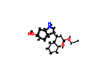 CCOC(=O)CC(c1c[nH]c2cc(O)ccc12)C1CCCCC1